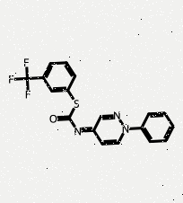 O=C(N=c1ccn(-c2ccccc2)nc1)Sc1cccc(C(F)(F)F)c1